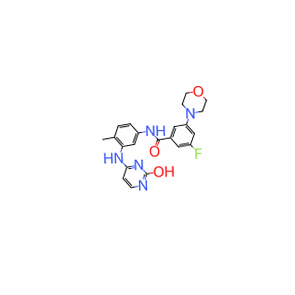 Cc1ccc(NC(=O)c2cc(F)cc(N3CCOCC3)c2)cc1Nc1ccnc(O)n1